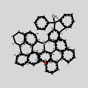 CC1(c2ccccc2)c2ccccc2-c2ccc(N(c3ccccc3-c3cccc4cccc(-c5ccccc5)c34)c3ccccc3-c3cccc4cccc(C5CCCCC5)c34)cc21